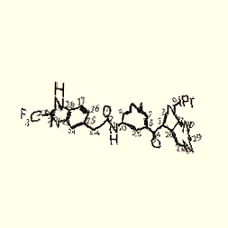 CC(C)n1cc(C(=O)c2cncc(NC(=O)Cc3ccc4[nH]c(C(F)(F)F)nc4c3)c2)c2cncnc21